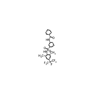 Cc1cc(C(F)(C(F)(F)F)C(F)(F)F)cc(C)c1NS(=O)(=O)c1cccc(NC(=O)c2ccccc2)c1